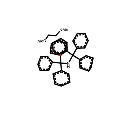 CNCCOC.c1ccc(C(NC(c2ccccc2)(c2ccccc2)c2ccccc2)(c2ccccc2)c2ccccc2)cc1